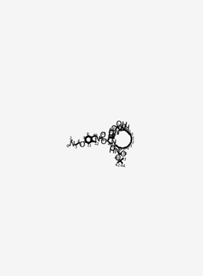 CN(C)CCOc1ccc2c(c1)CN(C(=O)O[C@@H]1C[C@H]3C(=O)N[C@]4(C(=O)O)C[C@H]4C=CCCCCC[C@H](NC(=O)OC(C)(C)C)C(=O)N3C1)C2